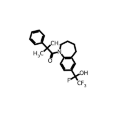 CC(C)(C(=O)N1CCCCc2cc(C(O)(F)C(F)(F)F)ccc21)c1ccccc1